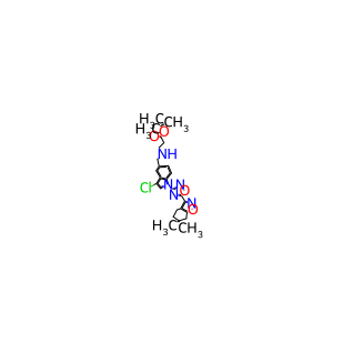 CC1(C)CCc2c(-c3nc(-n4cc(Cl)c5cc(CNCCC(=O)OC(C)(C)C)ccc54)no3)noc2C1